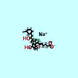 Cc1cccc(C[C@H](O)C=C[C@@H]2[C@@H]3[C@H](C[C@H]2O)OC(=CCCCC(=O)[O-])C3(F)F)c1.[Na+]